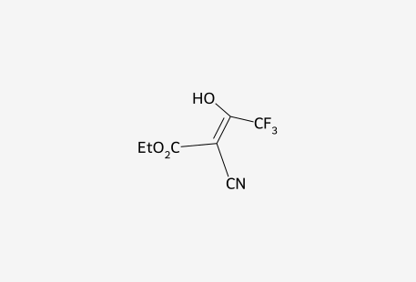 CCOC(=O)C(C#N)=C(O)C(F)(F)F